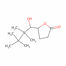 CC(C)(C)[Si](C)(C)C(O)C1CCC(=O)O1